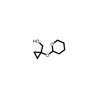 OCC1(OC2CCCCO2)CC1